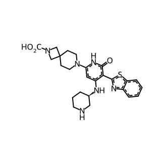 O=C(O)N1CC2(CCN(c3cc(N[C@@H]4CCCNC4)c(-c4nc5ccccc5s4)c(=O)[nH]3)CC2)C1